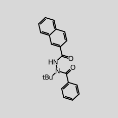 CC(C)(C)N(NC(=O)c1ccc2ccccc2c1)C(=O)c1ccccc1